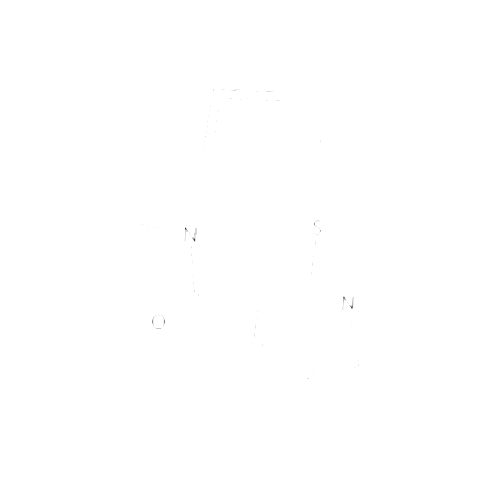 CN1C(=O)c2cccnc2Sc2ccccc21